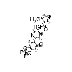 CC1=C(C(=O)Nc2cnc(-c3cc4c(cc3Cl)OC(F)(F)O4)cn2)C=NC1